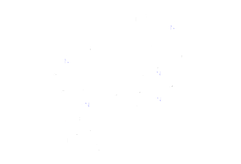 Cc1cc(N2C(=O)C(C)(C)c3ccc(-c4cn(-c5ccnc(C)c5)cn4)cc32)ccn1